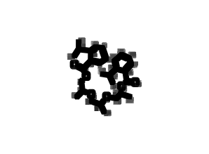 CC(COC(=O)c1ccccc1C(C)C)OCC(C)OCC(C)OC(=O)c1ccccc1C(C)C